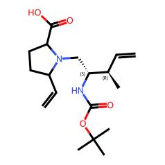 C=CC1CCC(C(=O)O)N1C[C@@H](NC(=O)OC(C)(C)C)[C@H](C)C=C